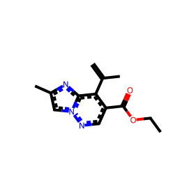 C=C(C)c1c(C(=O)OCC)cnn2cc(C)nc12